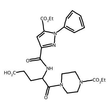 CCOC(=O)c1cc(C(=O)NC(CCC(=O)O)C(=O)N2CCN(C(=O)OCC)CC2)nn1-c1ccccc1